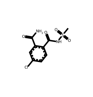 CS(=O)(=O)NC(=O)c1ccc(Cl)cc1C(N)=O